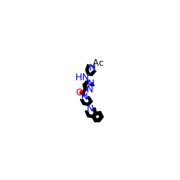 CC(=O)N1CCC(Nc2cc(C(=O)N3CCC(N4CCc5ccccc5C4)CC3)ncn2)CC1